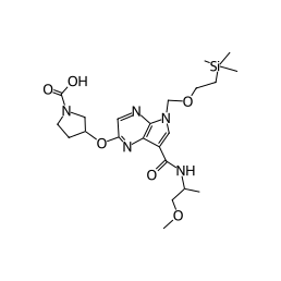 COCC(C)NC(=O)c1cn(COCC[Si](C)(C)C)c2ncc(OC3CCN(C(=O)O)C3)nc12